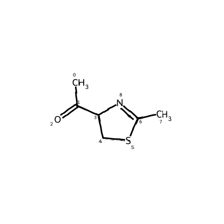 CC(=O)C1CSC(C)=N1